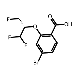 O=C(O)c1ccc(Br)cc1O[C@@H](CF)C(F)F